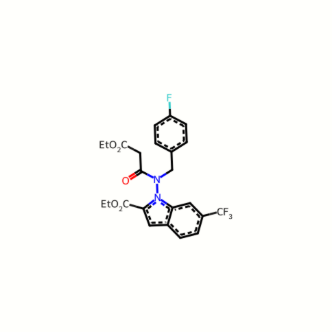 CCOC(=O)CC(=O)N(Cc1ccc(F)cc1)n1c(C(=O)OCC)cc2ccc(C(F)(F)F)cc21